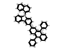 c1ccc(-c2c3ccccc3c(-c3ccccc3)c3cc(-c4ccc5c(c4)c4ccccc4n5-c4cccc5ccccc45)ccc23)cc1